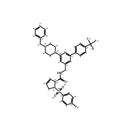 O=C(NCc1cc(-c2ccc(C(F)(F)F)cc2)nc(N2CCN(Cc3ccncc3)CC2)c1)[C@@H]1C=CCN1S(=O)(=O)c1ccc(F)cc1